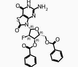 Nc1nc2c(sc(=O)n2[C@@H]2O[C@H](COC(=O)c3ccccc3)[C@@H](OC(=O)c3ccccc3)[C@H]2F)c(=O)[nH]1